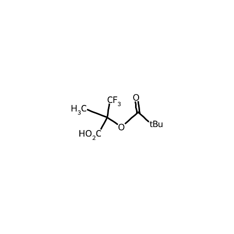 CC(C)(C)C(=O)OC(C)(C(=O)O)C(F)(F)F